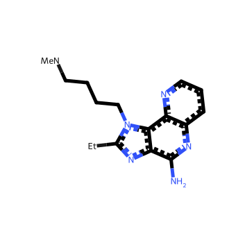 CCc1nc2c(N)nc3cccnc3c2n1CCCCNC